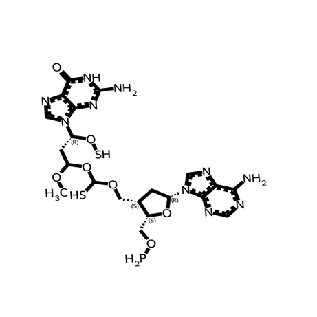 COC(C[C@@H](OS)n1cnc2c(=O)[nH]c(N)nc21)OC(S)OC[C@@H]1C[C@H](n2cnc3c(N)ncnc32)O[C@@H]1COP